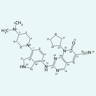 CN(C)C1CCN(c2ccc(Nc3ncc4cc(C#N)c(=O)n(C5CCCC5)c4n3)c3c2CNC3)CC1